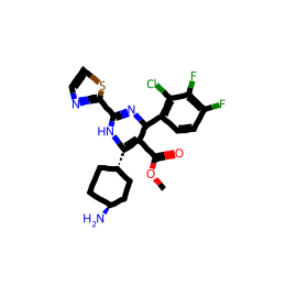 COC(=O)C1=C([C@H]2CC[C@H](N)CC2)NC(c2nccs2)=NC1c1ccc(F)c(F)c1Cl